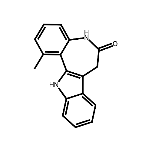 Cc1cccc2c1-c1[nH]c3ccccc3c1CC(=O)N2